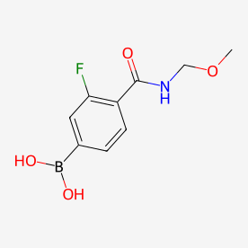 COCNC(=O)c1ccc(B(O)O)cc1F